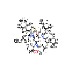 CC(C)(C)c1ccc(N2c3cc(N4c5ccccc5Oc5ccccc54)cc4c3B(c3cc5c(cc3N4c3ccc4c(c3)C(C)(C)CCC4(C)C)C(C)(C)CCC5(C)C)c3sc4cc5c(cc4c32)C(C)(C)CCC5(C)C)cc1